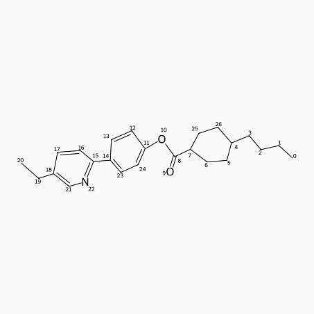 CCCCC1CCC(C(=O)Oc2ccc(-c3ccc(CC)cn3)cc2)CC1